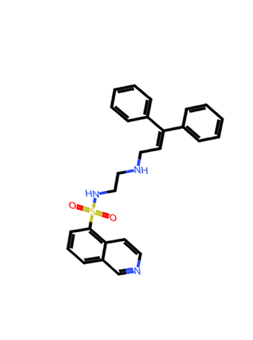 O=S(=O)(NCCNCC=C(c1ccccc1)c1ccccc1)c1cccc2cnccc12